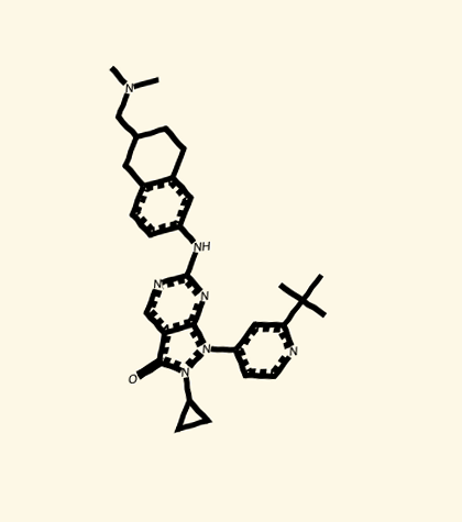 CN(C)CC1CCc2cc(Nc3ncc4c(=O)n(C5CC5)n(-c5ccnc(C(C)(C)C)c5)c4n3)ccc2C1